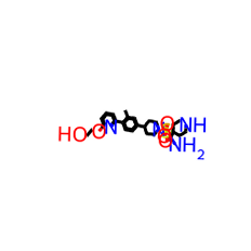 Cc1cc(C2CCN(S(=O)(=O)C3(C(N)=O)CCNCC3)CC2)ccc1-c1cccc(OCCO)n1